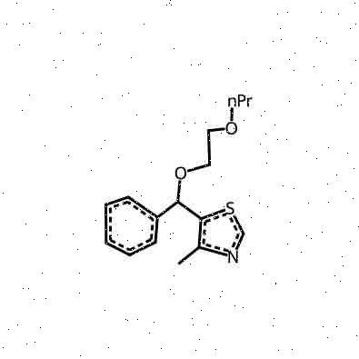 CCCOCCOC(c1ccccc1)c1scnc1C